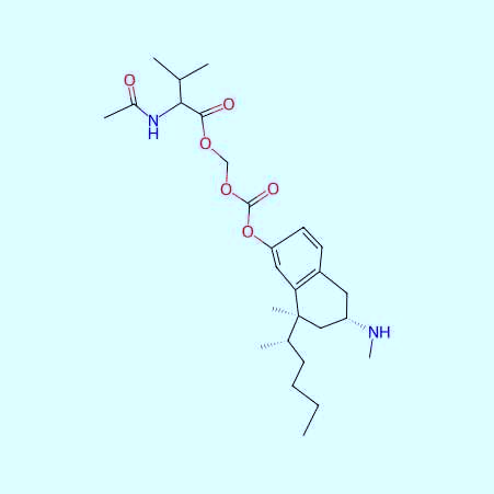 CCCC[C@H](C)[C@]1(C)C[C@@H](NC)Cc2ccc(OC(=O)OCOC(=O)C(NC(C)=O)C(C)C)cc21